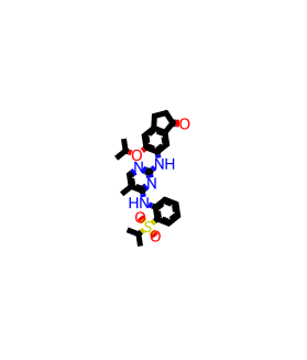 Cc1cnc(Nc2cc3c(cc2OC(C)C)CCC3=O)nc1Nc1ccccc1S(=O)(=O)C(C)C